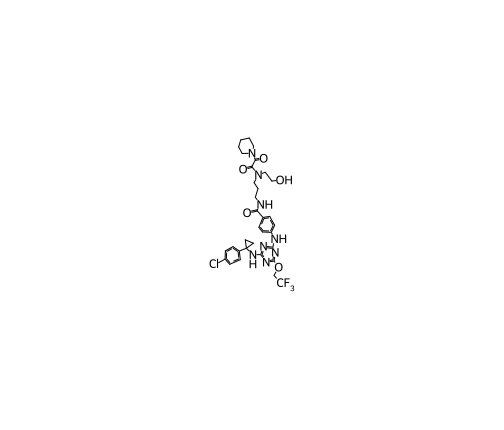 O=C(NCCCN(CCO)C(=O)C(=O)N1CCCCC1)c1ccc(Nc2nc(NC3(c4ccc(Cl)cc4)CC3)nc(OCC(F)(F)F)n2)cc1